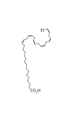 CC/C=C\C/C=C\C/C=C\C/C=C\C/C=C\C/C=C\CCCCCCCCCCCCCCC(=O)O